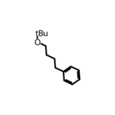 [CH2]C(C)(C)OCCCCc1ccccc1